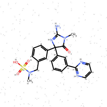 CN1C(=O)C(c2cccc(CN(C)S(=O)(=O)O)c2)(c2cccc(-c3ncccn3)c2)N=C1N